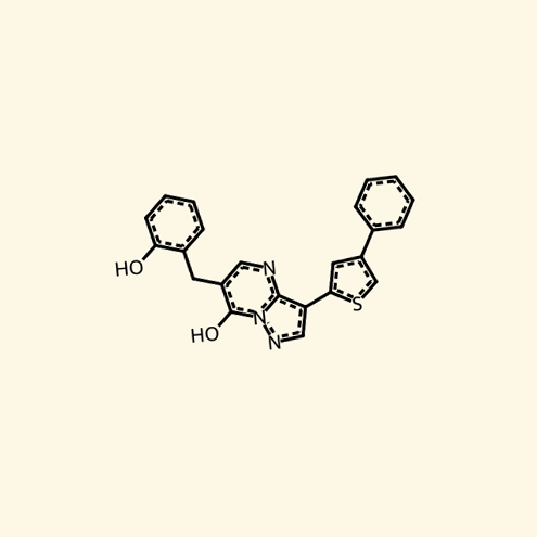 Oc1ccccc1Cc1cnc2c(-c3cc(-c4ccccc4)cs3)cnn2c1O